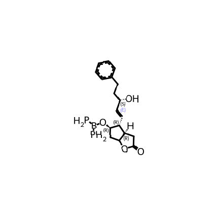 O=C1C[C@H]2C(C[C@@H](OB(P)P)[C@@H]2/C=C/[C@@H](O)CCc2ccccc2)O1